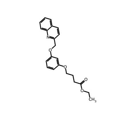 CCOC(=O)CCCOc1cccc(OCc2ccc3ccccc3n2)c1